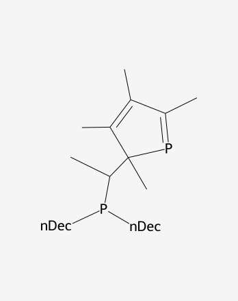 CCCCCCCCCCP(CCCCCCCCCC)C(C)C1(C)P=C(C)C(C)=C1C